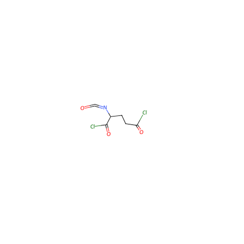 O=C=NC(CCC(=O)Cl)C(=O)Cl